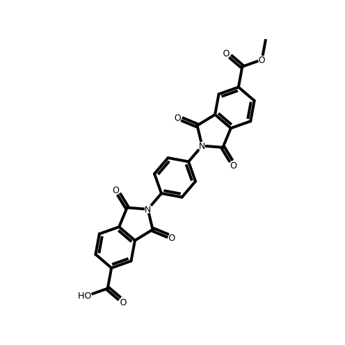 COC(=O)c1ccc2c(c1)C(=O)N(c1ccc(N3C(=O)c4ccc(C(=O)O)cc4C3=O)cc1)C2=O